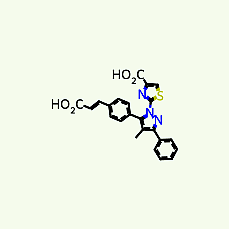 Cc1c(-c2ccccc2)nn(-c2nc(C(=O)O)cs2)c1-c1ccc(/C=C/C(=O)O)cc1